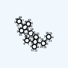 C1=CC2c3c(cccc3-c3c4ccccc4c(-c4cccc(-c5ccccc5)c4)c4ccccc34)SC2C(c2c3ccccc3c(-c3ccccc3)c3ccccc23)=C1